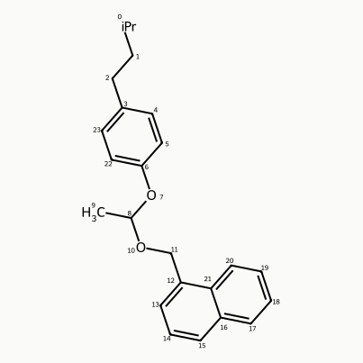 CC(C)CCc1ccc(OC(C)OCc2cccc3ccccc23)cc1